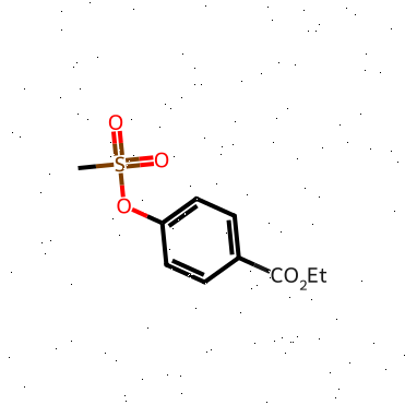 CCOC(=O)c1ccc(OS(C)(=O)=O)cc1